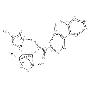 Cn1nc(C(F)(F)F)cc1[C@@H]1[C@H](C(=O)Nc2ccc(-c3ccccc3F)c(F)c2)[C@H]2CC[C@@H]1O2